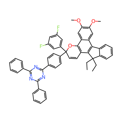 CCC1(CC)c2ccccc2-c2c1c1c(c3cc(OC)c(OC)cc23)OC(c2ccc(-c3nc(-c4ccccc4)nc(-c4ccccc4)n3)cc2)(c2cc(F)cc(F)c2)C=C1